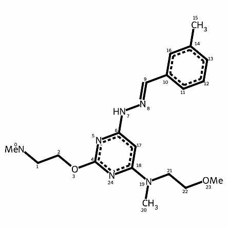 CNCCOc1nc(NN=Cc2cccc(C)c2)cc(N(C)CCOC)n1